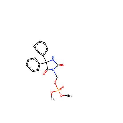 CC(C)(C)OP(=O)(OCN1C(=O)NC(c2ccccc2)(c2ccccc2)C1=O)OC(C)(C)C